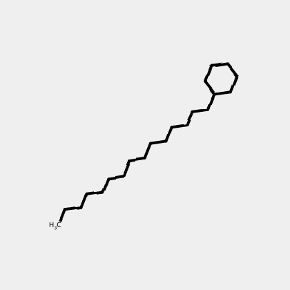 CCCCCCCCCCCCCCCC1C[CH]CCC1